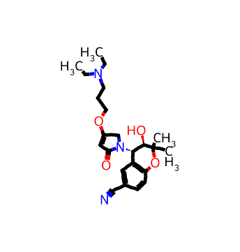 CCN(CC)CCCOC1=CC(=O)N([C@H]2c3cc(C#N)ccc3OC(C)(C)[C@@H]2O)C1